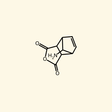 NC1C2C=CC1C1C(=O)OC(=O)C21